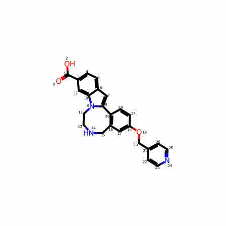 O=C(O)c1ccc2cc3n(c2c1)CCNCc1cc(OCc2ccncc2)ccc1-3